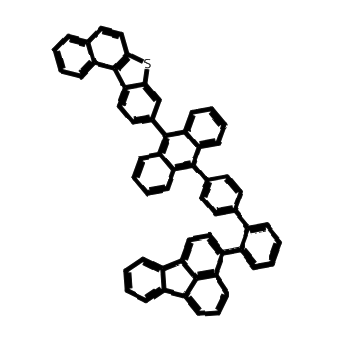 c1ccc(-c2ccc3c4c(cccc24)-c2ccccc2-3)c(-c2ccc(-c3c4ccccc4c(-c4ccc5c(c4)sc4ccc6ccccc6c45)c4ccccc34)cc2)c1